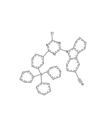 N#Cc1ccc2c(c1)c1ccccc1n2-c1nc(Cl)nc(-c2cccc([Si](c3ccccc3)(c3ccccc3)c3ccccc3)c2)n1